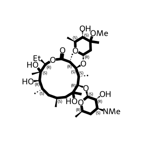 CC[C@H]1OC(=O)[C@H](C)[C@@H](O[C@H]2CC(C)(OC)[C@@H](O)[C@H](C)O2)[C@H](C)[C@@H](O[C@@H]2O[C@H](C)C[C@H](NC)[C@H]2O)C(C)(O)C[C@@H](C)C[C@H](C)[C@@H](O)[C@]1(C)O